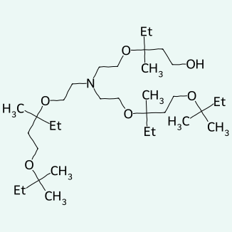 CCC(C)(C)OCCC(C)(CC)OCCN(CCOC(C)(CC)CCO)CCOC(C)(CC)CCOC(C)(C)CC